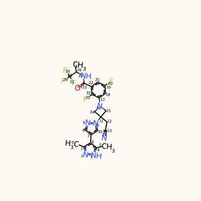 Cc1n[nH]c(C)c1-c1cnn(C2(CC#N)CN(c3cc(F)cc(C(=O)NC(C)C(F)(F)F)c3F)C2)c1